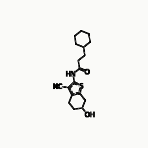 N#Cc1c(NC(=O)CCC2CCCCC2)sc2c1CCC(O)C2